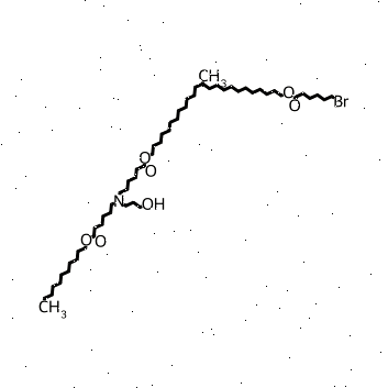 CCCCCCCCCCCOC(=O)CCCCCN(CCCO)CCCCCC(=O)OCCCCCCCCCCCCC(C)CCCCCCCCCCCOC(=O)CCCCCBr